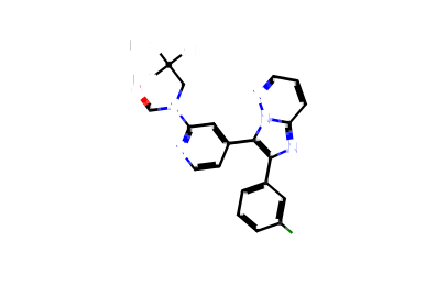 CC(C)(C)CN(C=O)c1cc(-c2c(-c3cccc(Cl)c3)nc3cccnn23)ccn1